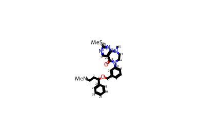 CNCCC(OCc1cccc(N2CCN(C)c3nc(SC)ncc3C2=O)c1)c1ccccc1